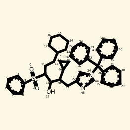 O=S(=O)(c1ccccc1)C(CCC1CCCCC1)C(O)C(Cc1cn(C(c2ccccc2)(c2ccccc2)c2ccccc2)cn1)C1CC1